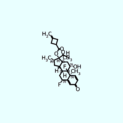 C=C1CC(C(=O)O[C@]2(C(=O)S)[C@H](C)C[C@H]3[C@@H]4C[C@H](F)C5=CC(=O)C=C[C@]5(C)[C@@]4(F)[C@@H](O)C[C@@]32C)C1